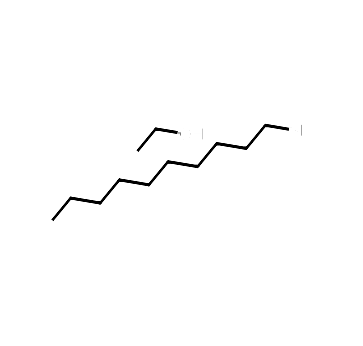 CCCCCCCCCCS.CCO